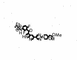 CCN(C)S(=O)(=O)Nc1ccc(F)c(C(=O)c2c[nH]c3ncc(-c4cnc(N5CCC(O)(CC(=O)OC)CC5)nc4)cc23)c1F